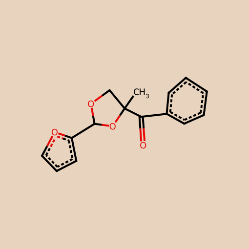 CC1(C(=O)c2ccccc2)COC(c2ccco2)O1